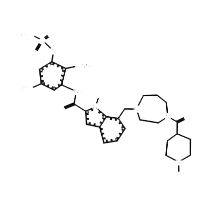 COc1c(NC(=O)c2cc3cccc(CN4CCCN(C(=O)C5CCN(C)CC5)CC4)c3n2C)cc(C(C)(C)C)cc1NS(C)(=O)=O